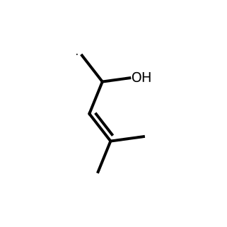 [CH2]C(O)C=C(C)C